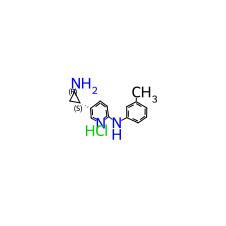 Cc1cccc(Nc2ccc([C@@H]3C[C@H]3N)cn2)c1.Cl